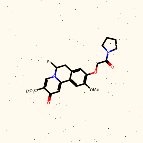 CCOC(=O)c1cn2c(cc1=O)-c1cc(OC)c(OCC(=O)N3CCCC3)cc1CC2CC